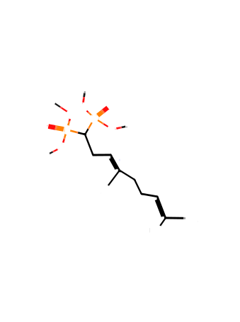 CCOP(=O)(OCC)C(C/C=C(\C)CCC=C(C)C)P(=O)(OCC)OCC